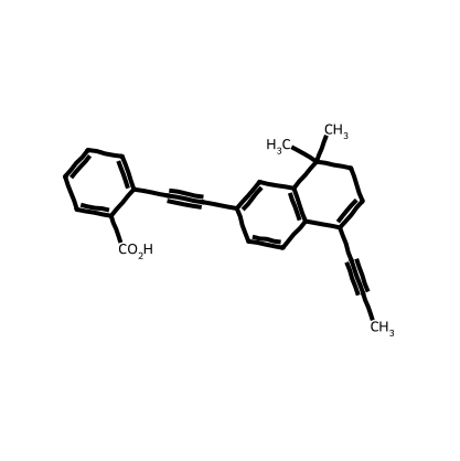 CC#CC1=CCC(C)(C)c2cc(C#Cc3ccccc3C(=O)O)ccc21